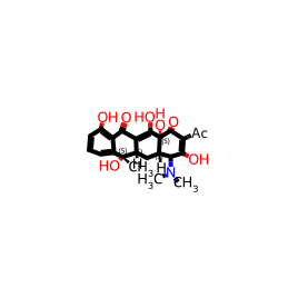 CC(=O)C1=C(O)C(N(C)C)[C@@H]2C[C@H]3C(=C(O)[C@]2(O)C1=O)C(=O)c1c(O)cccc1[C@@]3(C)O